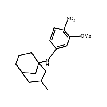 COc1cc(NC23CCCC(CC(C)C2)C3)ccc1[N+](=O)[O-]